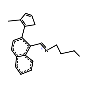 CCCC/N=C/c1c(C2=C(C)C=CC2)ccc2ccccc12